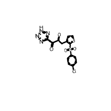 O=C(Cc1ccsc1S(=O)(=O)c1ccc(Cl)cc1)C(=O)c1nn[nH]n1